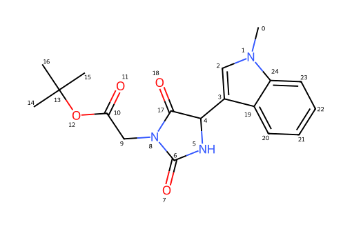 Cn1cc(C2NC(=O)N(CC(=O)OC(C)(C)C)C2=O)c2ccccc21